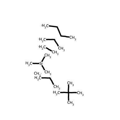 C[CH]C.C[Si](C)C.[CH2]C.[CH2]C(C)(C)C.[CH2]CC.[CH2]CCC.[CH3]